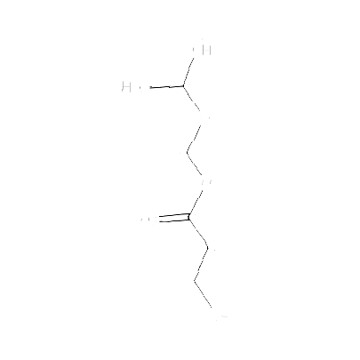 CCCC(=O)OCOC(C)C